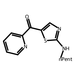 [CH2]CCCCNc1ncc(C(=O)c2ccccn2)s1